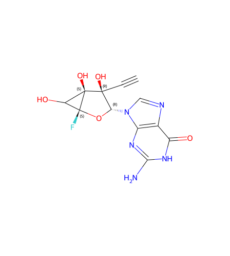 C#C[C@]1(O)[C@H](n2cnc3c(=O)[nH]c(N)nc32)O[C@]2(F)C(O)[C@@]21O